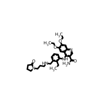 CCOc1cc2ncc(C(N)=O)c(Nc3cccc(CNCCCN4CCCC4=O)c3CC)c2cc1OCC